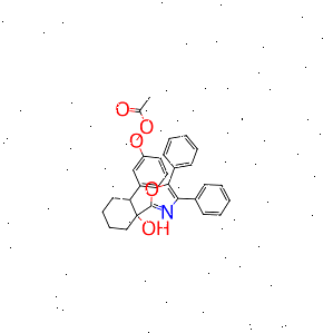 CC(=O)OOc1cccc(C2CCCCC2(O)c2nc(-c3ccccc3)c(-c3ccccc3)o2)c1